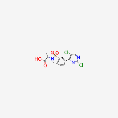 C[C@H](C(=O)O)N1Cc2ccc(-c3nc(Cl)ncc3Cl)cc2S1(=O)=O